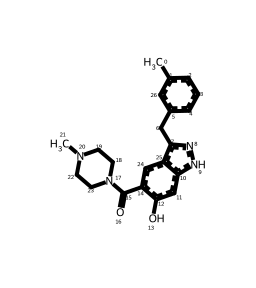 Cc1cccc(Cc2n[nH]c3cc(O)c(C(=O)N4CCN(C)CC4)cc23)c1